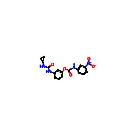 O=C(Nc1cccc(OC(=O)Nc2cccc([N+](=O)[O-])c2)c1)NC1CC1